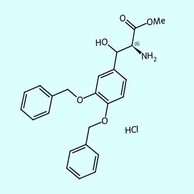 COC(=O)[C@@H](N)C(O)c1ccc(OCc2ccccc2)c(OCc2ccccc2)c1.Cl